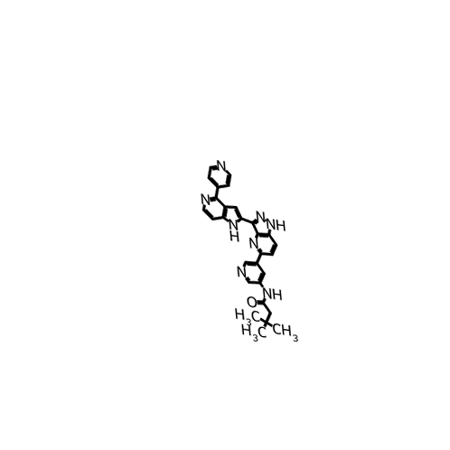 CC(C)(C)CC(=O)Nc1cncc(-c2ccc3[nH]nc(-c4cc5c(-c6ccncc6)nccc5[nH]4)c3n2)c1